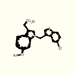 CCOc1ccc2c(CC(=O)O)cn(Cc3csc4ccc(Cl)cc34)c2c1